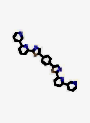 c1cncc(-c2cccc(-c3ncc(-c4ccc(-c5cnc(-c6cccc(-c7cccnc7)n6)s5)cc4)s3)n2)c1